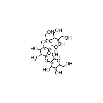 CC1C(O)[C@H](O[C@@H](CO)OC(CO)[C@H](O)CO)[C@H](CO)O[C@H]1O[C@@H]1C(O)[C@H](O)C(CO)O[C@@H]1C